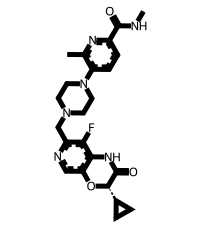 CNC(=O)c1ccc(N2CCN(Cc3ncc4c(c3F)NC(=O)[C@H](C3CC3)O4)CC2)c(C)n1